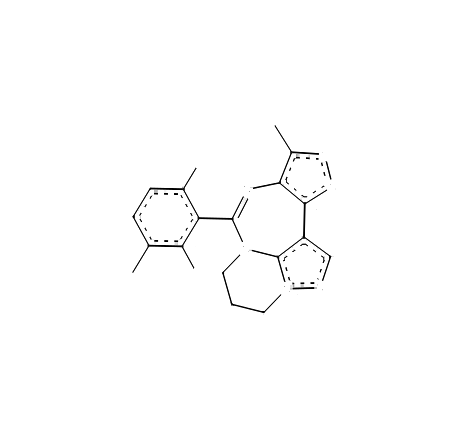 Cc1ccc(F)c(C2=Nc3c(C)n[nH]c3-c3cnn4c3N2CCC4)c1F